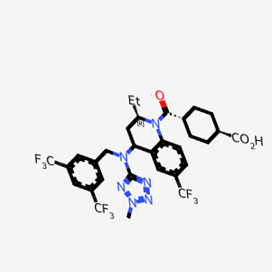 CC[C@@H]1CC(N(Cc2cc(C(F)(F)F)cc(C(F)(F)F)c2)c2nnn(C)n2)c2cc(C(F)(F)F)ccc2N1C(=O)[C@H]1CC[C@H](C(=O)O)CC1